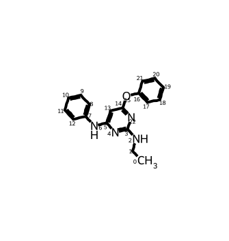 CCNc1nc(Nc2ccccc2)cc(Oc2ccccc2)n1